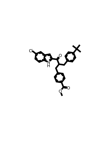 COC(=O)c1ccc(CC(Cc2ccc(C(C)(C)C)cc2)C(=O)c2cc3cc(Cl)ccc3[nH]2)cc1